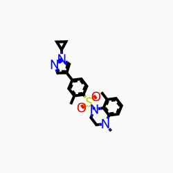 Cc1cc(-c2cnn(C3CC3)c2)ccc1S(=O)(=O)N1CCN(C)c2cccc(C)c21